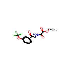 CCOC(=O)C(=O)NCC(=O)c1cccc(OC(F)(F)F)c1